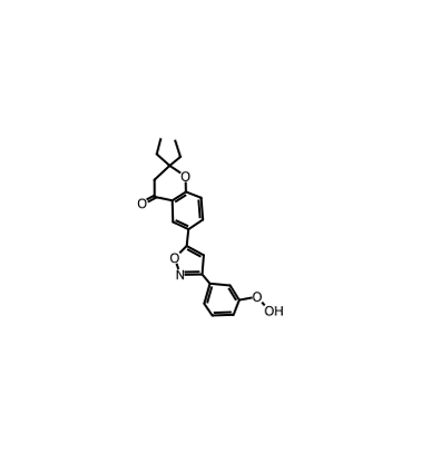 CCC1(CC)CC(=O)c2cc(-c3cc(-c4cccc(OO)c4)no3)ccc2O1